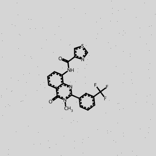 Cn1c(-c2cccc(C(F)(F)F)c2)nc2c(NC(=O)c3cscn3)cccc2c1=O